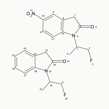 CC(CF)N1C(=O)Cc2cc([N+](=O)[O-])ccc21.CC(CF)N1C(=O)Cc2ccccc21